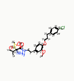 COc1cc(CCNC(=O)C(N)(C(C)C)S(C)(=O)=O)ccc1OCCCc1ccc(Cl)cc1